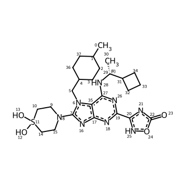 CC1CCC(Cn2c(N3CCS(O)(O)CC3)nc3nc(-c4nc(=O)o[nH]4)nc(N[C@H](C)C4CCC4)c32)CC1